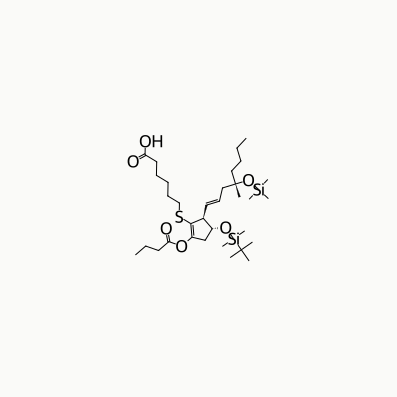 CCCC[C@@](C)(C/C=C/[C@@H]1C(SCCCCCC(=O)O)=C(OC(=O)CCC)C[C@H]1O[Si](C)(C)C(C)(C)C)O[Si](C)(C)C